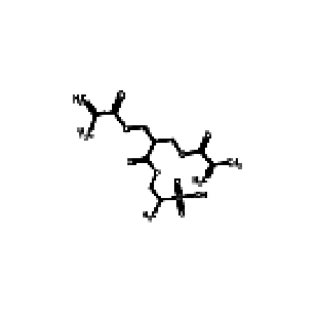 C=C(C)C(=O)OCC(COC(=O)C(=C)C)C(=O)OCC(C)S(=O)(=O)O